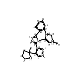 CC1(c2cnnn2-c2nnc3n2C2=CN(F)CN2c2ccccc2-3)CCCO1